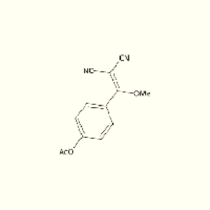 COC(=C(C#N)C#N)c1ccc(OC(C)=O)cc1